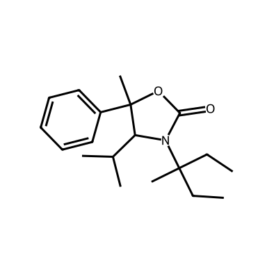 CCC(C)(CC)N1C(=O)OC(C)(c2ccccc2)C1C(C)C